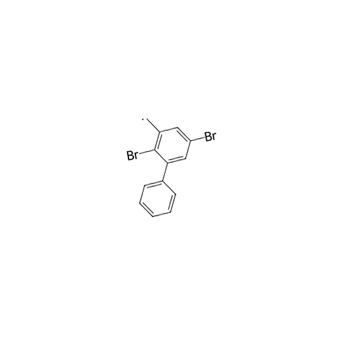 [CH2]c1cc(Br)cc(-c2ccccc2)c1Br